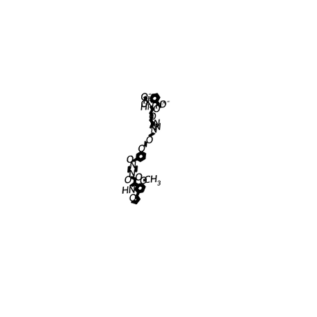 COc1ccc(-c2ccco2)c2[nH]cc(C(=O)C(=O)N3CCN(C(=O)c4cccc(OCCOCCn5cc(COCCNc6c([N+](=O)[O-])cccc6[N+](=O)[O-])nn5)c4)CC3)c12